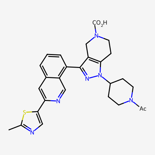 CC(=O)N1CCC(n2nc(-c3cccc4cc(-c5cnc(C)s5)ncc34)c3c2CCN(C(=O)O)C3)CC1